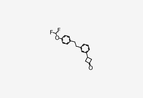 O=C1CC(c2cccc(CCc3ccc(OC(F)F)cc3)c2)C1